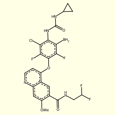 Bc1c(F)c(Oc2ccnc3cc(OC)c(C(=O)NCC(F)F)cc23)c(F)c(Cl)c1NC(=O)NC1CC1